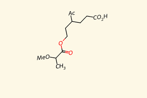 COC(C)C(=O)OCCC(CCC(=O)O)C(C)=O